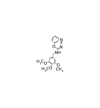 COc1cc(CN/C(=N/C#N)Oc2ccccc2)cc(OC)c1OC